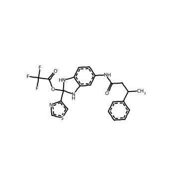 CC(CC(=O)Nc1ccc2c(c1)NC(OC(=O)C(F)(F)F)(c1cscn1)N2)c1ccccc1